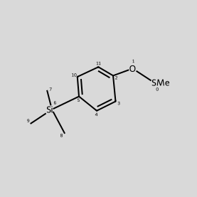 CSOc1ccc([Si](C)(C)C)cc1